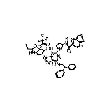 CCC(=O)N[C@H]1C[C@@H](n2cnc3c(NCC(c4ccccc4)c4ccccc4)nc(N4CC[C@@H](NC(=O)c5cnc6ccccc6n5)C4)nc32)[C@H](O)[C@@H]1OC(=O)C(F)(F)F